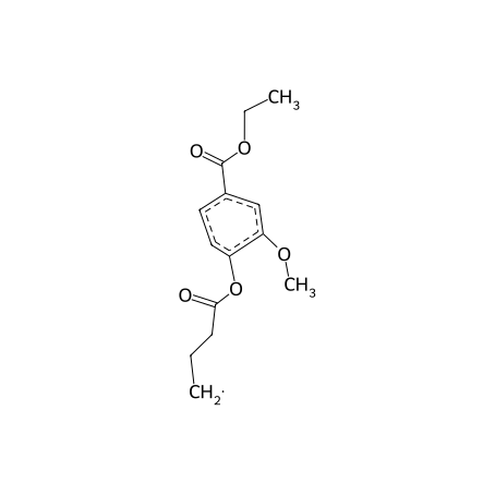 [CH2]CCC(=O)Oc1ccc(C(=O)OCC)cc1OC